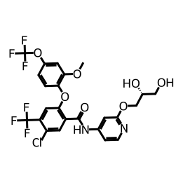 COc1cc(OC(F)(F)F)ccc1Oc1cc(C(F)(F)F)c(Cl)cc1C(=O)Nc1ccnc(OC[C@H](O)CO)c1